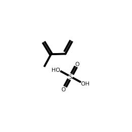 C=CC(=C)C.O=S(=O)(O)O